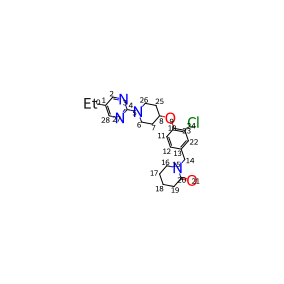 CCc1cnc(N2CCC(Oc3ccc(CN4CCCCC4=O)cc3Cl)CC2)nc1